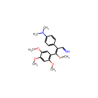 COc1cc(OC)c(/C(SC)=C(/C=N)c2ccc(N(C)C)cc2)cc1OC